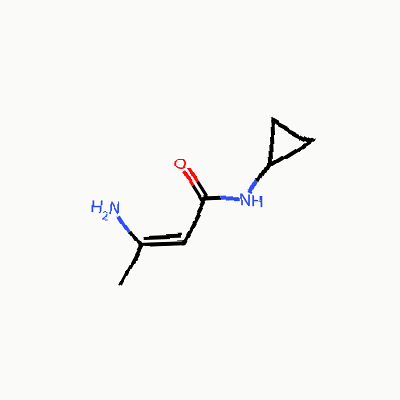 CC(N)=CC(=O)NC1CC1